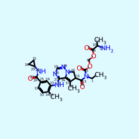 CCN(C(=O)OCOC(=O)C(C)N)C(=O)C1CN2N=CN=C(Nc3cc(C(=O)NC4CC4)ccc3C)C2=C1C